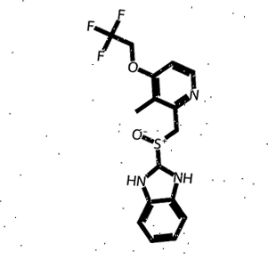 Cc1c(OCC(F)(F)F)ccnc1C[S+]([O-])C1Nc2ccccc2N1